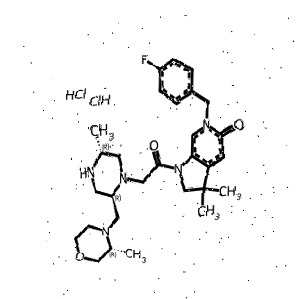 C[C@@H]1CN(CC(=O)N2CC(C)(C)c3cc(=O)n(Cc4ccc(F)cc4)cc32)[C@@H](CN2CCOC[C@H]2C)CN1.Cl.Cl